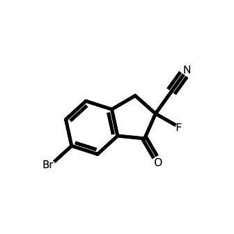 N#CC1(F)Cc2ccc(Br)cc2C1=O